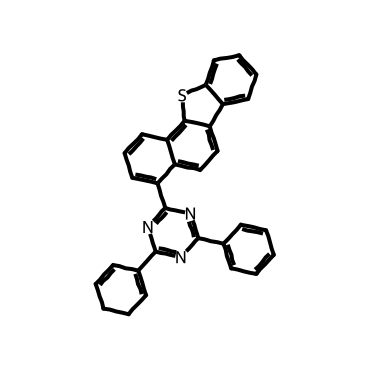 C1=CC(c2nc(-c3ccccc3)nc(-c3cccc4c3ccc3c5ccccc5sc43)n2)=CCC1